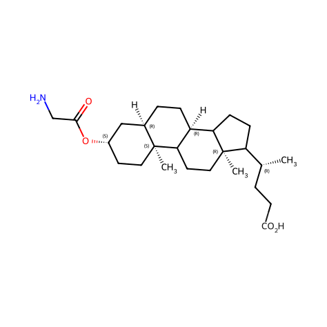 C[C@H](CCC(=O)O)C1CCC2[C@@H]3CC[C@@H]4C[C@@H](OC(=O)CN)CC[C@]4(C)C3CC[C@@]21C